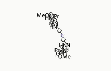 COC(=O)N[C@H](C(=O)N1CCC[C@H]1c1ncc(-c2ccc(/C=C/c3ccc(-c4cnc([C@@H]5CCCN5C(=O)[C@@H](NC(=O)OC)C(C)C)[nH]4)cc3)cc2)[nH]1)C(C)C